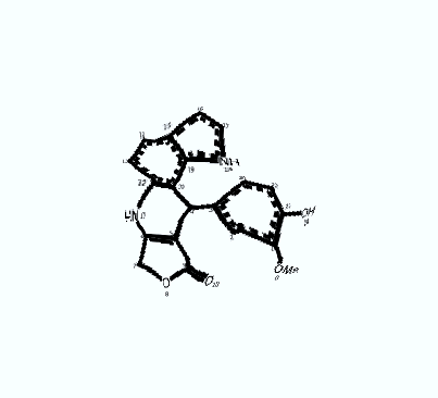 COc1cc(C2C3=C(COC3=O)Nc3ccc4cc[nH]c4c32)ccc1O